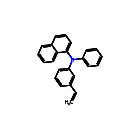 C=Cc1cccc(N(c2ccccc2)c2cccc3ccccc23)c1